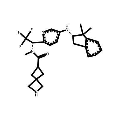 CN(C(=O)C1CC2(CNC2)C1)[C@@H](c1ccc(N[C@H]2Cc3ccccc3C2(C)C)cn1)C(F)(F)F